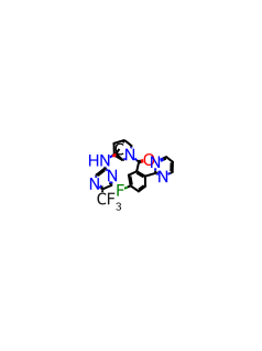 O=C(c1cc(F)ccc1-c1ncccn1)N1CC2CCC1C(Nc1cnc(C(F)(F)F)cn1)C2